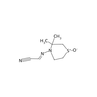 CC1(C)C[S+]([O-])CCN1N=CC#N